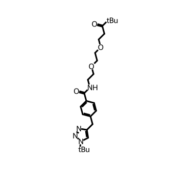 CC(C)(C)C(=O)CCOCCOCCNC(=O)c1ccc(Cc2cn(C(C)(C)C)nn2)cc1